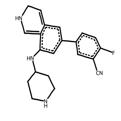 N#Cc1cc(-c2cc(NC3CCNCC3)c3c(c2)=CCNC=3)ccc1F